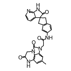 Cc1cc2c3c(c1)n(CC(=O)Nc1ccc4c(c1)CC1(C4)C(=O)Nc4ncccc41)c(=O)n3CC(=O)N2